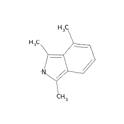 CC1=c2cccc(C)c2=C(C)[N]1